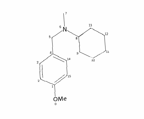 COc1ccc(CN(C)C2CCCCC2)cc1